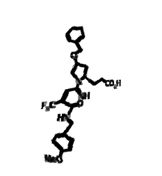 COc1ccc(CNC(=O)/C(=C\C(=N)N2C[C@@H](OCc3ccccc3)C[C@H]2CCC(=O)O)C(F)(F)F)cc1